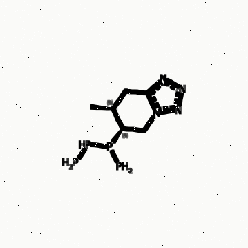 C[C@H]1Cc2nnnn2C[C@H]1P(P)PP